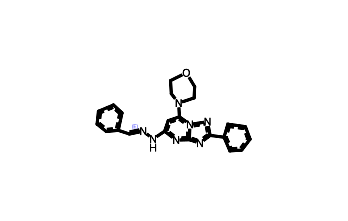 C(=N\Nc1cc(N2CCOCC2)n2nc(-c3ccccc3)nc2n1)/c1ccccc1